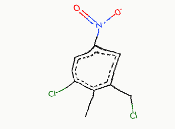 Cc1c(Cl)cc([N+](=O)[O-])cc1CCl